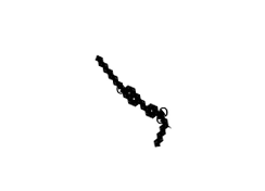 CCCCCCCCCCOc1ccc2cc(CCc3ccc(C(=O)OC[C@H](C)CCCCCC)cc3)ccc2c1